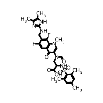 Cc1cc(C)c(S(=O)(=O)NC(CN(C=O)c2cn(C)c3c(F)c(CNc4nc(C)c(C)[nH]4)c(F)cc3c2=O)C(=O)O)c(C)c1